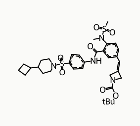 CN(c1ccc(C=C2CN(C(=O)OC(C)(C)C)C2)cc1C(=O)Nc1ccc(S(=O)(=O)N2CCC(C3CCC3)CC2)cc1)S(C)(=O)=O